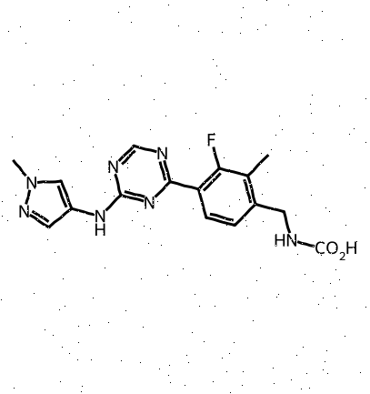 Cc1c(CNC(=O)O)ccc(-c2ncnc(Nc3cnn(C)c3)n2)c1F